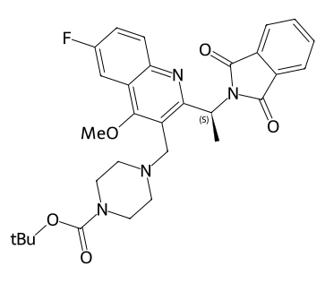 COc1c(CN2CCN(C(=O)OC(C)(C)C)CC2)c([C@H](C)N2C(=O)c3ccccc3C2=O)nc2ccc(F)cc12